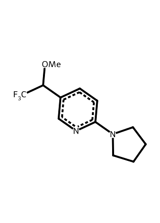 COC(c1ccc(N2CCCC2)nc1)C(F)(F)F